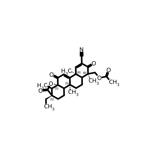 CC[C@@]12CCC3[C@](OC1=O)(C(=O)C=C1[C@@]4(C)C=C(C#N)C(=O)[C@@](C)(COC(C)=O)C4CC[C@]13C)C2C